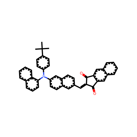 CC(C)(C)c1ccc(N(c2ccc3cc(C=C4C(=O)c5cc6ccccc6cc5C4=O)ccc3c2)c2cccc3ccccc23)cc1